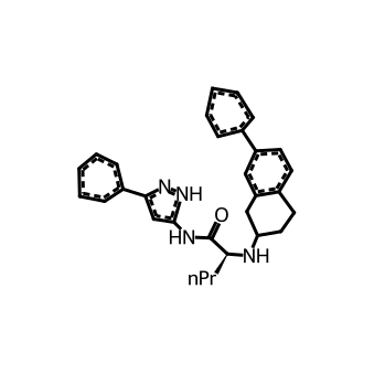 CCC[C@H](NC1CCc2ccc(-c3ccccc3)cc2C1)C(=O)Nc1cc(-c2ccccc2)n[nH]1